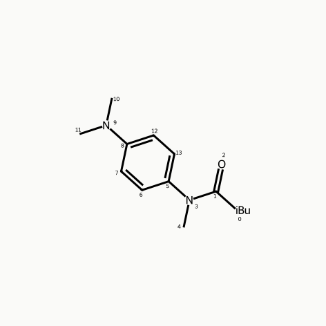 CCC(C)C(=O)N(C)c1ccc(N(C)C)cc1